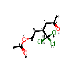 CC(=O)CC(CCOC(C)=O)C(Cl)(Cl)Cl